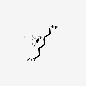 C=C.CCCCCCCCCCCCNC.Cl.O